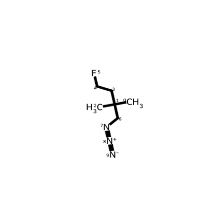 CC(C)(CCF)CN=[N+]=[N-]